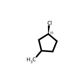 CC1CC[C@H](Cl)C1